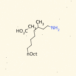 CC(=O)O.CCCCCCCCCCCCCC(C)CCN